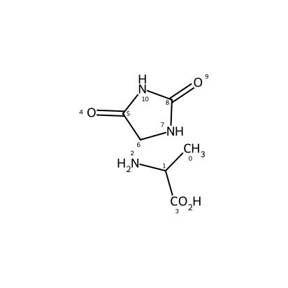 CC(N)C(=O)O.O=C1CNC(=O)N1